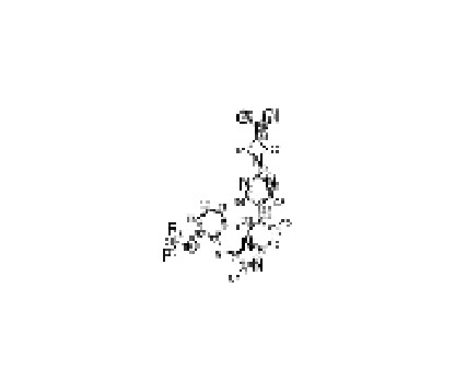 Cc1cc2nc(C)c(Cc3ccccc3OC(F)F)n2cc1-c1cnc(N2CC(C(=O)O)C2)nc1